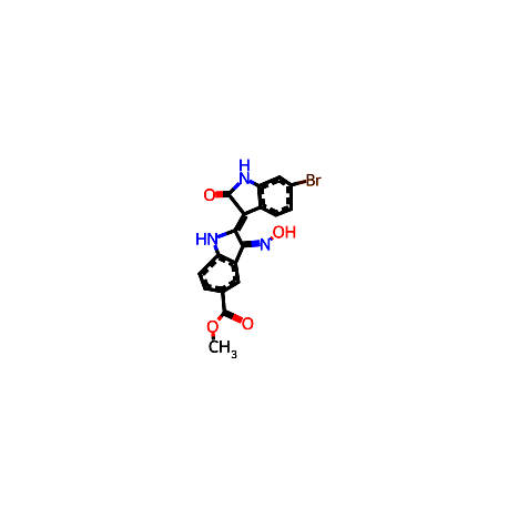 COC(=O)c1ccc2c(c1)C(=N/O)/C(=C1/C(=O)Nc3cc(Br)ccc31)N2